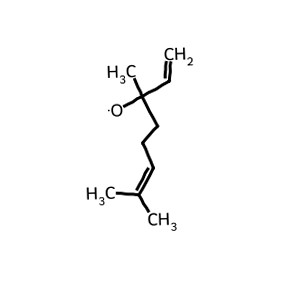 C=CC(C)([O])CCC=C(C)C